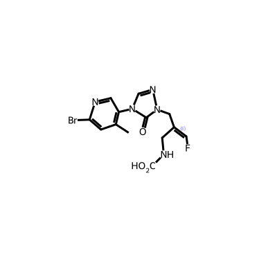 Cc1cc(Br)ncc1-n1cnn(C/C(=C/F)CNC(=O)O)c1=O